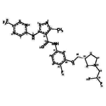 Cc1nsc(Nc2cnc(C(F)(F)F)cn2)c1C(=O)Nc1ccc(F)c(OC[C@@H]2CCN(CC(F)F)C2)c1